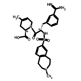 CC1=CCN(C(=O)[C@H](Cc2cccc(C(=N)N)c2)NS(=O)(=O)c2ccc3c(c2)CCN(C)CC3)[C@@H](C(=O)O)C1